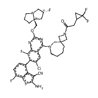 N#Cc1c(N)sc2c(F)ccc(-c3c(Cl)cc4c(N5CCCCC6(CN(C(=O)CC7CC7(F)F)C6)C5)nc(OC[C@@]56CCCN5C[C@H](F)C6)nc4c3F)c12